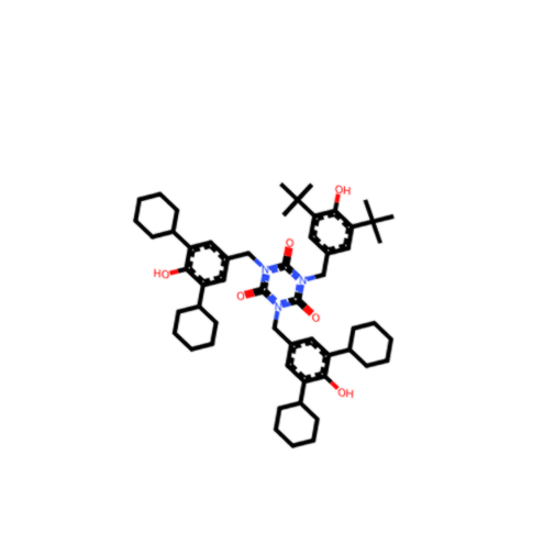 CC(C)(C)c1cc(Cn2c(=O)n(Cc3cc(C4CCCCC4)c(O)c(C4CCCCC4)c3)c(=O)n(Cc3cc(C4CCCCC4)c(O)c(C4CCCCC4)c3)c2=O)cc(C(C)(C)C)c1O